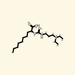 CCCCCCCCC(OC(=O)NCCCN(CC)CC)C(=O)O